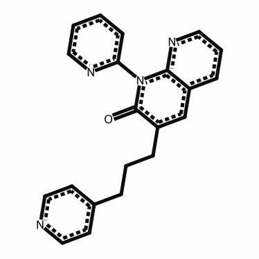 O=c1c(CCCc2ccncc2)cc2cccnc2n1-c1ccccn1